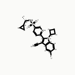 C[C@H](NS(=O)(=O)c1ccc(-c2c(C#N)c3cc(F)ccc3n2C2CCC2)nc1)C1CC1